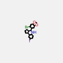 Brc1cc2c(cc1C1Nc3ccc(I)cc3C3C=CCC31)OCO2